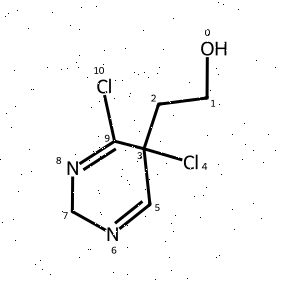 OCCC1(Cl)C=NCN=C1Cl